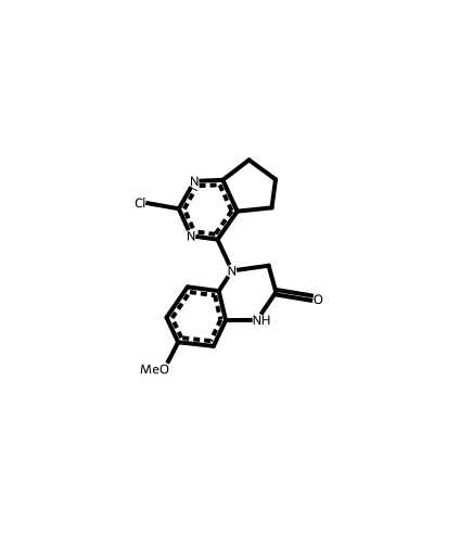 COc1ccc2c(c1)NC(=O)CN2c1nc(Cl)nc2c1CCC2